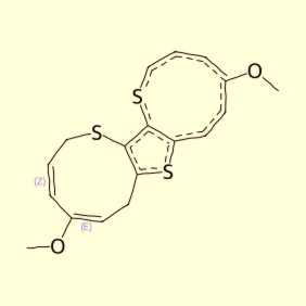 COC1=C/Cc2sc3ccc(OC)cccsc3c2SC/C=C\1